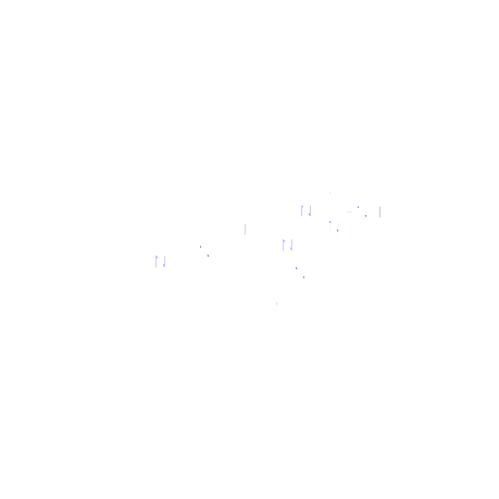 CC(C)N/C(=N\C=N)c1cn2c(n1)-c1cc([C@H](C)N3CC(N4CCOCC4)C3)ccc1OCC2